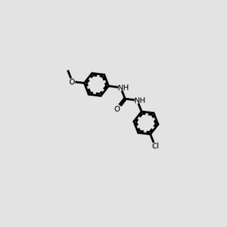 COc1ccc(NC(=O)Nc2ccc(Cl)cc2)cc1